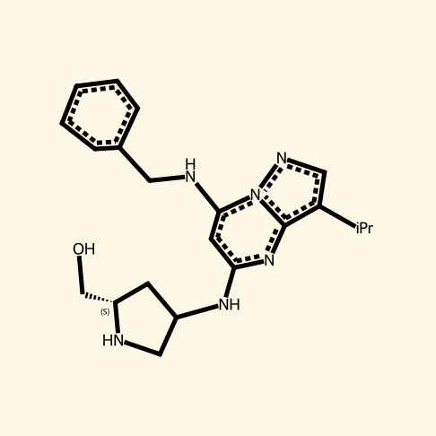 CC(C)c1cnn2c(NCc3ccccc3)cc(NC3CN[C@H](CO)C3)nc12